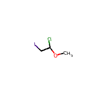 COC(Cl)CI